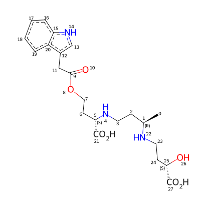 C[C@H](CCN[C@@H](CCOC(=O)Cc1c[nH]c2ccccc12)C(=O)O)NCC[C@H](O)C(=O)O